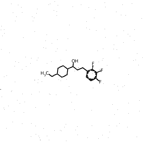 CCC1CCC(C(O)CCc2ccc(F)c(F)c2F)CC1